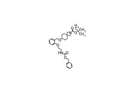 CC(C)(C)OC(=O)N1CC2(CCC(OCc3ccccc3OCCNC(=O)OCc3ccccc3)CC2)C1